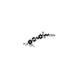 COCCCC(=O)NC1CCC(CCN2CCN(c3ccc(C)c(C)c3)CC2)CC1